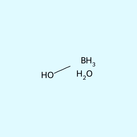 B.CO.O